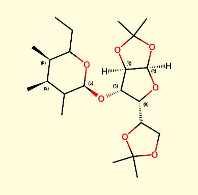 CCC1O[C@@H](O[C@@H]2[C@H]3OC(C)(C)O[C@H]3O[C@@H]2C2COC(C)(C)O2)C(C)[C@@H](C)[C@H]1C